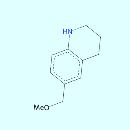 COCc1ccc2c(c1)CCCN2